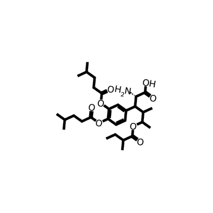 CCC(C)C(=O)OC(C)C(C)C(c1ccc(OC(=O)CCC(C)C)c(OC(=O)CCC(C)C)c1)[C@H](N)C(=O)O